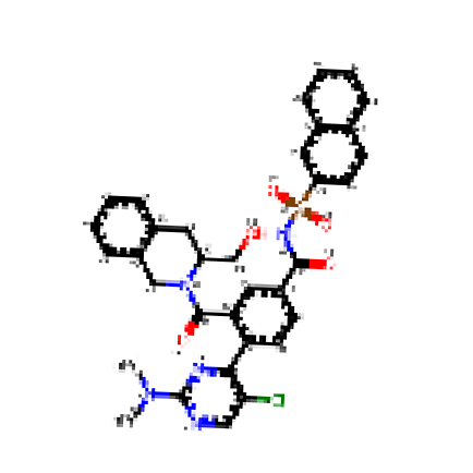 CCCN(CCC)c1ncc(Cl)c(-c2ccc(C(=O)NS(=O)(=O)c3ccc4ccccc4c3)cc2C(=O)N2Cc3ccccc3C[C@H]2CO)n1